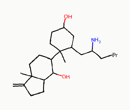 C=C1CCC2C(O)C(C3(C)CCC(O)CC3CC(N)CC(C)C)CCC12C